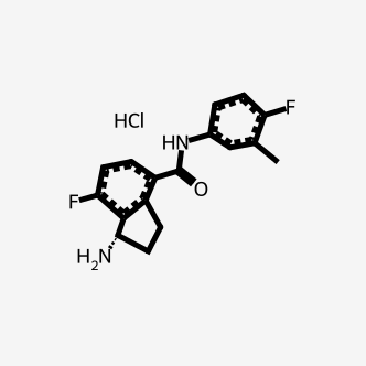 Cc1cc(NC(=O)c2ccc(F)c3c2CC[C@@H]3N)ccc1F.Cl